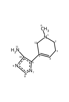 CN1CCC=C(c2nsnc2N)C1